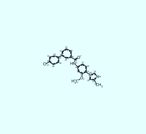 COc1cc(NC(=O)c2cccc(-c3ccc(Cl)cc3)c2)ccc1-n1cnc(C)c1